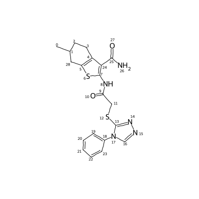 CC1CCc2c(sc(NC(=O)CSc3nncn3-c3ccccc3)c2C(N)=O)C1